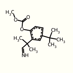 COC(=O)Oc1ccc(C(C)(C)C)cc1C(C)(C)C=N